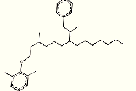 CCCCCCCC(CCCC(C)CCOc1c(C)cccc1C)C(C)Cc1ccccc1